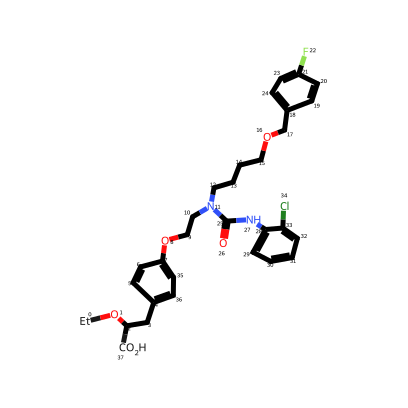 CCOC(Cc1ccc(OCCN(CCCCOCc2ccc(F)cc2)C(=O)Nc2ccccc2Cl)cc1)C(=O)O